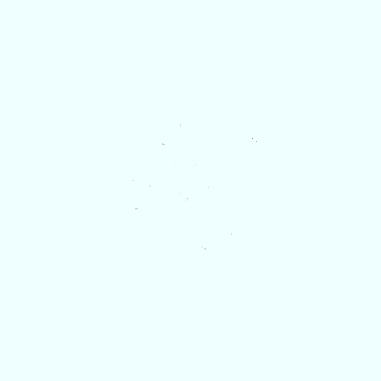 CNCCC(Oc1cc(Cl)c(F)cc1C#N)C1CCCC1.Cl